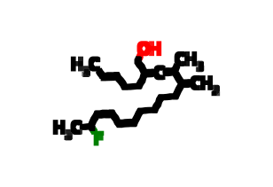 C=C(CCCC/C=C\C=C/C(C)F)C(C)=C=C(CO)CC/C=C/C